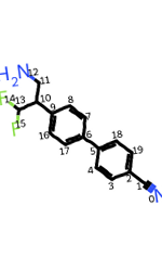 N#Cc1ccc(-c2ccc(C(CN)C(F)F)cc2)cc1